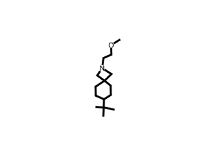 COCCN1CC2(CCC(C(C)(C)C)CC2)C1